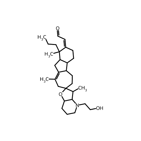 CCCC1(C)/C(=C\C=O)CCC2C3CCC4(CC(C)=C3CC21)OC1CCCN(CCO)C1C4C